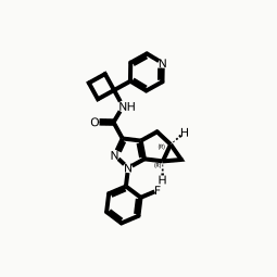 O=C(NC1(c2ccncc2)CCC1)c1nn(-c2ccccc2F)c2c1C[C@H]1C[C@@H]21